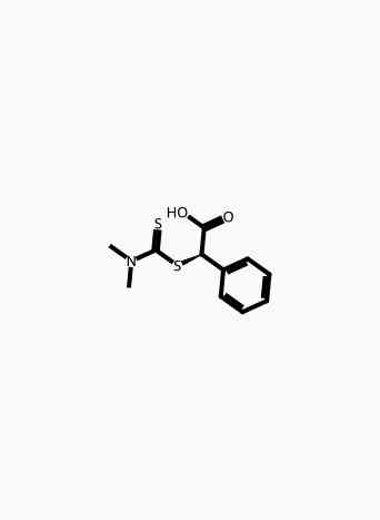 CN(C)C(=S)S[C@@H](C(=O)O)c1ccccc1